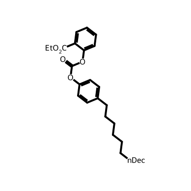 CCCCCCCCCCCCCCCCc1ccc(OC(=O)Oc2ccccc2C(=O)OCC)cc1